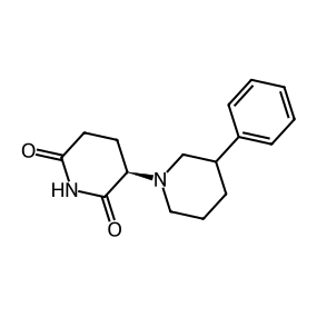 O=C1CC[C@@H](N2CCCC(c3ccccc3)C2)C(=O)N1